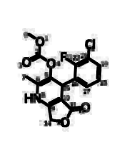 COC(=O)OC1=C(C)NC2=C(C(=O)OC2)C1c1cccc(Cl)c1F